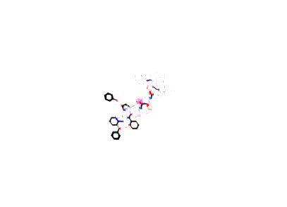 CCCCC(NC(=O)C(CCCC)NC(=O)CNC(=O)C(=O)C(CCC)NC(=O)[C@@H]1C[C@@H](OCc2ccccc2)CN1C(=O)C(NC(=O)C1CCCC[C@@H]1C(=O)c1ccccc1)C1CCCCC1)C(N)=O